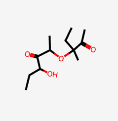 CCC(O)C(=O)C(C)OC(C)(CC)C(C)=O